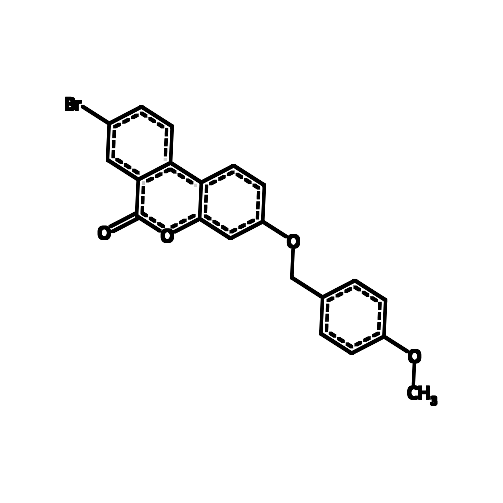 COc1ccc(COc2ccc3c(c2)oc(=O)c2cc(Br)ccc23)cc1